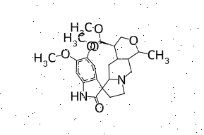 COC(=O)[C@H]1COC(C)C2CN3CCC4(C(=O)Nc5cc(OC)c(OC)cc54)C3CC21